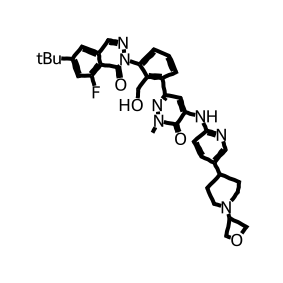 Cn1nc(-c2cccc(-n3ncc4cc(C(C)(C)C)cc(F)c4c3=O)c2CO)cc(Nc2ccc(C3CCN(C4COC4)CC3)cn2)c1=O